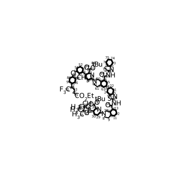 CC(C)(C)OC(=O)c1nc(N2CCc3cccc(C(=O)Nc4nc5ccccc5s4)c3C2)ccc1B1OC(C)(C)C(C)(C)O1.CCOC(=O)CC[C@H](c1ccc(Oc2cccc(-c3ccc(N4CCc5cccc(C(=O)Nc6nc7ccccc7s6)c5C4)nc3C(=O)OC(C)(C)C)c2C)cc1)C(F)(F)F